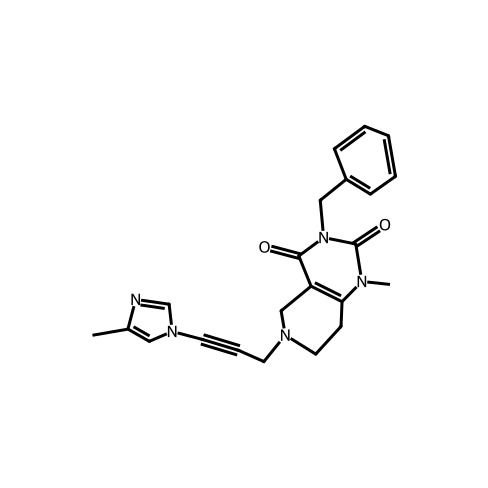 Cc1cn(C#CCN2CCc3c(c(=O)n(Cc4ccccc4)c(=O)n3C)C2)cn1